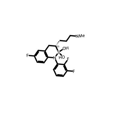 CNCCC[C@H]1Cc2cc(F)ccc2N(c2cccc(F)c2F)S1(O)O